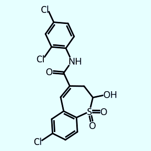 O=C(Nc1ccc(Cl)cc1Cl)C1=Cc2cc(Cl)ccc2S(=O)(=O)C(O)C1